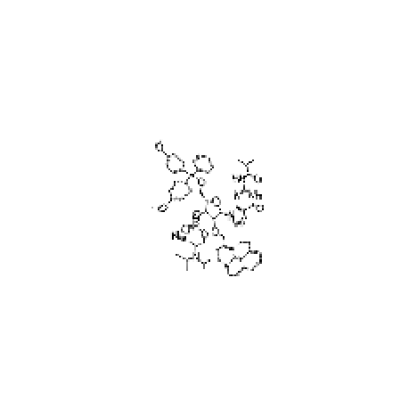 COc1ccc(C(OC[C@H]2O[C@@H](n3cnc4c(=O)[nH]c(NC(=O)C(C)C)nc43)C(OCc3ccc4ccc5cccc6ccc3c4c56)C2O[PH](=O)OCC(C#N)N(C(C)C)C(C)C)(c2ccccc2)c2ccc(OC)cc2)cc1